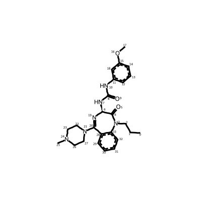 CCCN1C(=O)[C@H](NC(=O)Nc2cccc(OC)c2)N=C(N2CCN(C)CC2)c2ccccc21